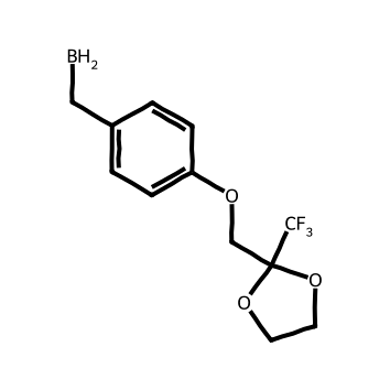 BCc1ccc(OCC2(C(F)(F)F)OCCO2)cc1